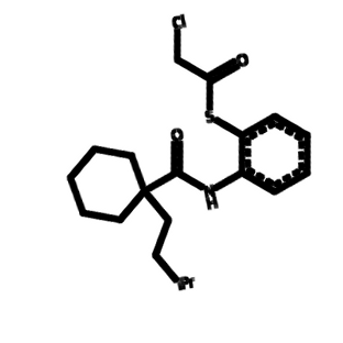 CC(C)CCC1(C(=O)Nc2ccccc2SC(=O)CCl)CCCCC1